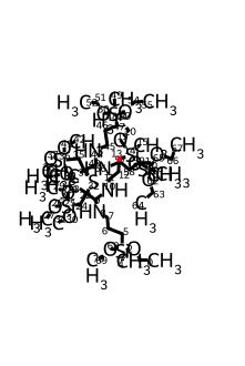 CCO[Si](C)(CCCNC(NCCC[Si](C)(OCC)OCC)C(C)(C[Si](OC)(OC)OC)SC(C)(C[Si](OC)(OC)OC)C(NCCC[Si](C)(OCC)OCC)NCCC[Si](C)(OCC)OCC)OCC